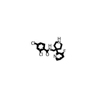 O=C(NCC1(c2ncccc2F)CCNCC1)c1ccc(Cl)cc1Cl